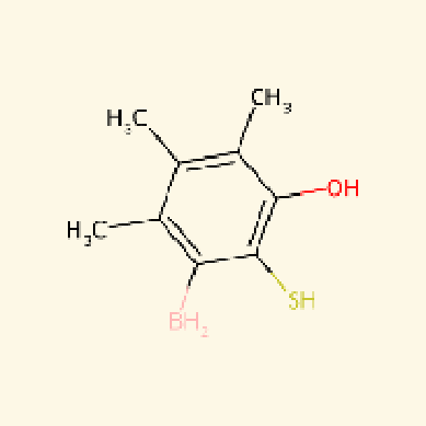 Bc1c(C)c(C)c(C)c(O)c1S